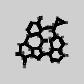 COc1c(Cl)cccc1Nn1c(-c2ccnc3ccc(OC4CC4)nc23)cc2c1C(C)CNC2=O